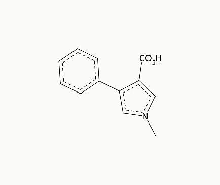 Cn1cc(C(=O)O)c(-c2ccccc2)c1